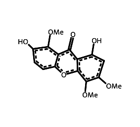 COc1cc(O)c2c(=O)c3c(OC)c(O)ccc3oc2c1OC